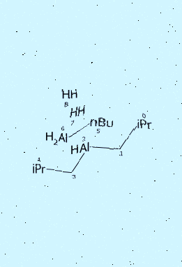 CC(C)[CH2][AlH][CH2]C(C)C.CCC[CH2][AlH2].[HH].[HH]